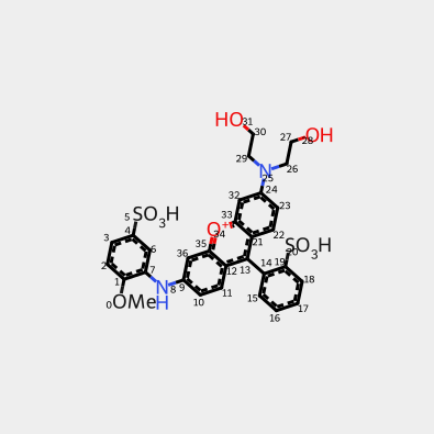 COc1ccc(S(=O)(=O)O)cc1Nc1ccc2c(-c3ccccc3S(=O)(=O)O)c3ccc(N(CCO)CCO)cc3[o+]c2c1